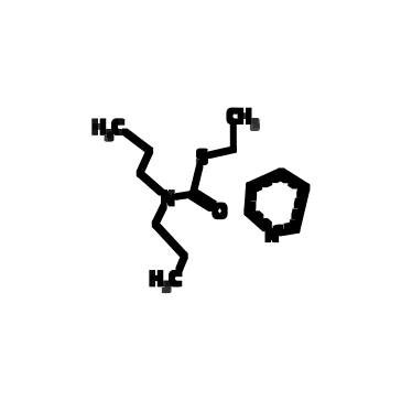 CCCN(CCC)C(=O)SCC.c1ccncc1